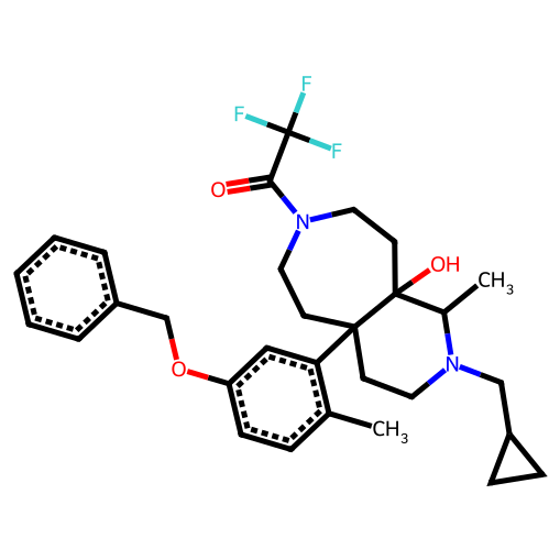 Cc1ccc(OCc2ccccc2)cc1C12CCN(C(=O)C(F)(F)F)CCC1(O)C(C)N(CC1CC1)CC2